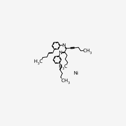 CCCC#CC(=Nc1cccc(C=CCCC)c1)C(CCCC)=Nc1cccc(C=CCCC)c1.[Ni]